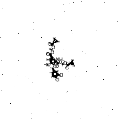 N[C@]1(C(=O)OCOC(=O)C2CC2)C2C(C(=O)OCOC(=O)C3CC3)[C@@H]2[C@H](O)C1OCc1ccc(Cl)c(Cl)c1